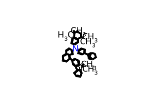 CC1(C)CCC(C)(C)c2cc(N(c3ccc(C4CC5CCC4C5)cc3)c3ccc4cccc(-c5ccc6c(c5)-c5ccccc5[Si]6(C)C)c4c3)ccc21